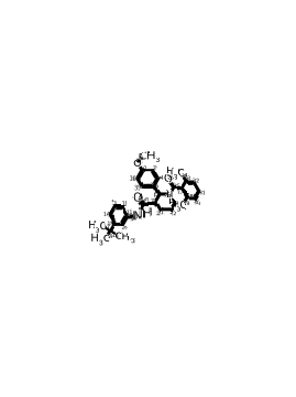 COc1ccc(C2C(C(=O)Nc3cccc(C(C)(C)C)c3)CCCN2C(=O)c2c(C)cccc2C)cc1